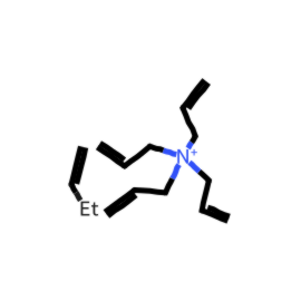 C=CCC.C=CC[N+](CC=C)(CC=C)CC=C